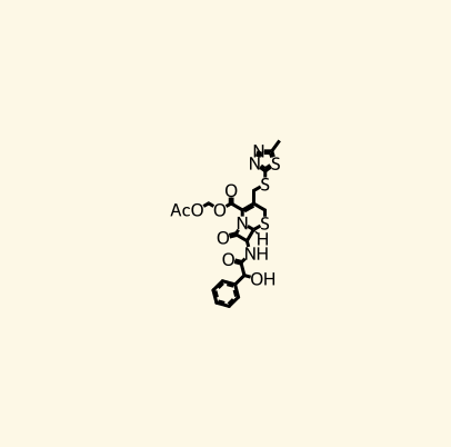 CC(=O)OCOC(=O)C1=C(CSc2nnc(C)s2)CS[C@H]2C(NC(=O)C(O)c3ccccc3)C(=O)N12